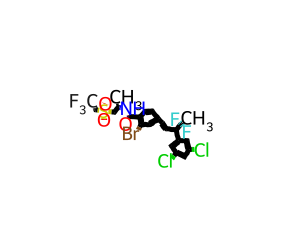 C[C@H](CS(=O)(=O)CC(F)(F)F)NC(=O)c1ccc(/C=C/C(c2cc(Cl)cc(Cl)c2)C(C)(F)F)cc1Br